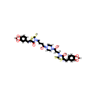 O=C(CCCN1C(=O)/C(=C/c2ccc3c(c2)OCO3)SC1=S)N1CCN(C(=O)CCN2C(=O)/C(=C\c3ccc4c(c3)OCO4)SC2=S)CC1